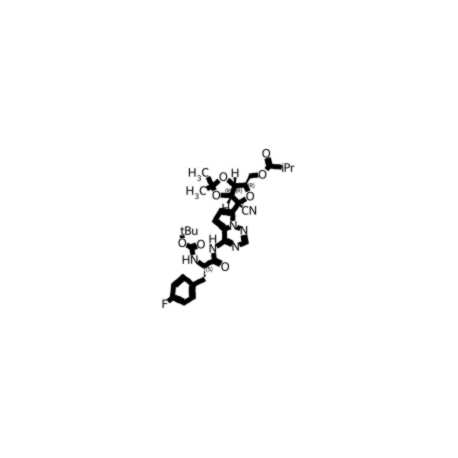 CC(C)C(=O)OC[C@H]1O[C@@](C#N)(c2ccc3c(NC(=O)[C@H](Cc4ccc(F)cc4)NC(=O)OC(C)(C)C)ncnn23)[C@@H]2OC(C)(C)O[C@@H]21